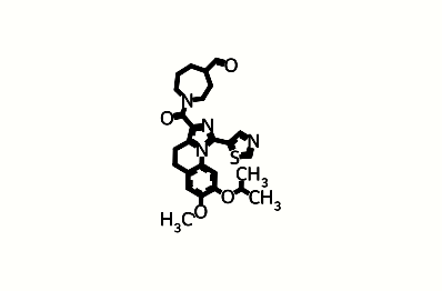 COc1cc2c(cc1OC(C)C)-n1c(-c3cncs3)nc(C(=O)N3CCCC(C=O)CC3)c1CC2